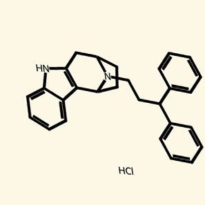 Cl.c1ccc(C(CCN2C3CCC2c2c([nH]c4ccccc24)C3)c2ccccc2)cc1